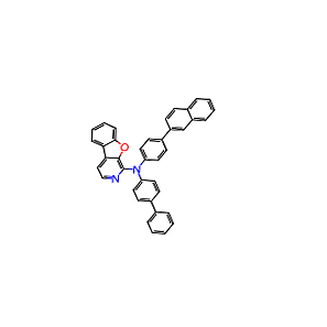 c1ccc(-c2ccc(N(c3ccc(-c4ccc5ccccc5c4)cc3)c3nccc4c3oc3ccccc34)cc2)cc1